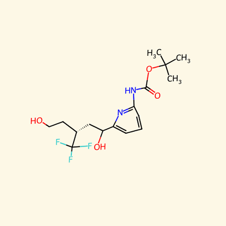 CC(C)(C)OC(=O)Nc1cccc(C(O)C[C@@H](CCO)C(F)(F)F)n1